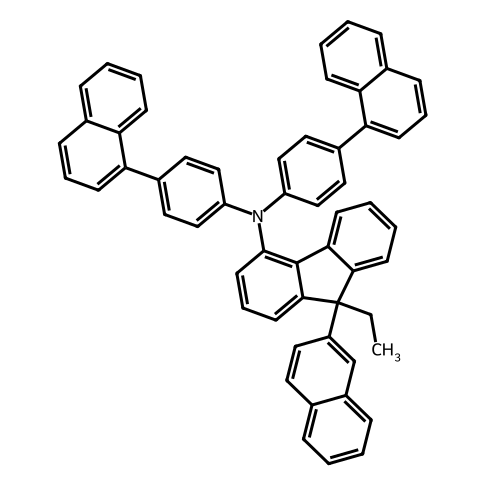 CCC1(c2ccc3ccccc3c2)c2ccccc2-c2c(N(c3ccc(-c4cccc5ccccc45)cc3)c3ccc(-c4cccc5ccccc45)cc3)cccc21